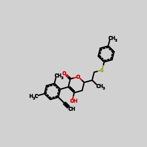 C#Cc1cc(C)cc(C)c1C1=C(O)CC(C(C)CSc2ccc(C)cc2)OC1=O